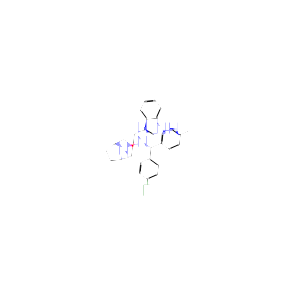 Cc1ccc(C(NC2CC3CCC(C2)N3CCc2c[nH]c3ccccc23)c2ccc(F)cc2)cc1